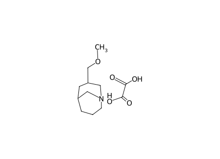 COCC1CC2CCCN(C2)C1.O=C(O)C(=O)O